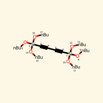 CCCCO[Si](C#CC#C[Si](OCCCC)(OCCCC)OCCCC)(OCCCC)OCCCC